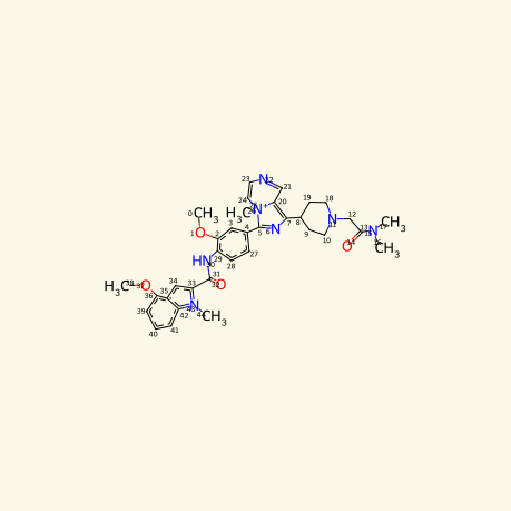 COc1cc(C2=NC(C3CCN(CC(=O)N(C)C)CC3)=C3C=NC=C[N+]23C)ccc1NC(=O)c1cc2c(OC)cccc2n1C